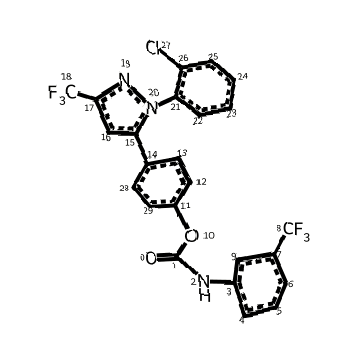 O=C(Nc1cccc(C(F)(F)F)c1)Oc1ccc(-c2cc(C(F)(F)F)nn2-c2ccccc2Cl)cc1